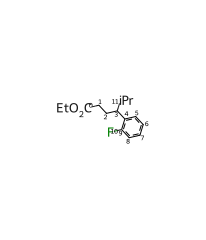 CCOC(=O)CCC(c1ccccc1F)C(C)C